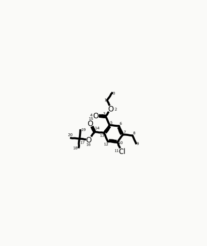 CCOC(=O)c1cc(CC)c(Cl)cc1C(=O)OC(C)(C)C